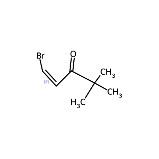 CC(C)(C)C(=O)/C=C\Br